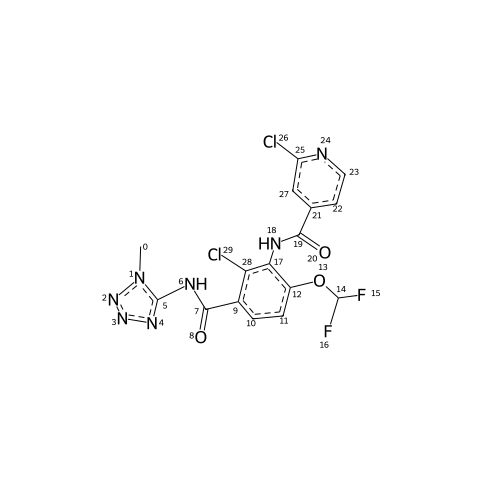 Cn1nnnc1NC(=O)c1ccc(OC(F)F)c(NC(=O)c2ccnc(Cl)c2)c1Cl